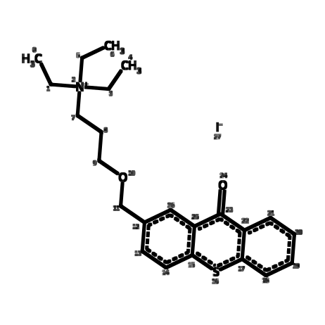 CC[N+](CC)(CC)CCCOCc1ccc2sc3ccccc3c(=O)c2c1.[I-]